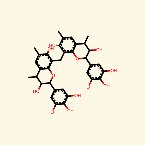 Cc1cc2c(c(Cc3c(O)c(C)cc4c3OC(c3cc(O)c(O)c(O)c3)C(O)C4C)c1O)OC(c1cc(O)c(O)c(O)c1)C(O)C2C